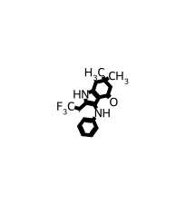 CC1(C)CC(=O)c2c([nH]c([CH]C(F)(F)F)c2Nc2ccccc2)C1